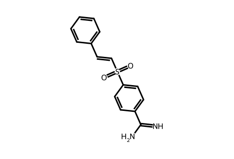 N=C(N)c1ccc(S(=O)(=O)C=Cc2ccccc2)cc1